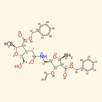 B[C@@H]1O[C@H](CO)C(CC(=O)NC[C@H]2O[C@@H](B)C(C(=O)OCc3ccccc3)C2OC=C)C1C(=O)OCc1ccccc1